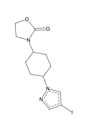 O=C1OCCN1C1CCC(n2cc(I)cn2)CC1